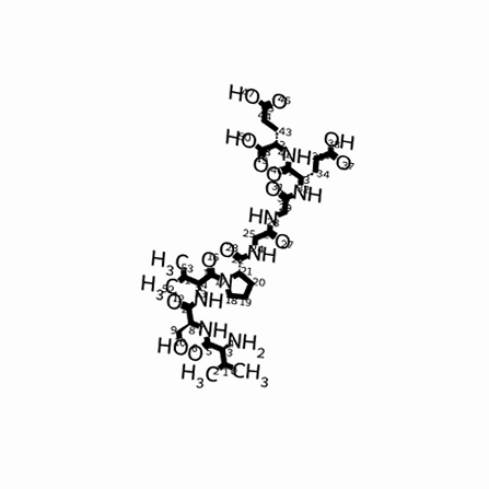 CC(C)[C@H](N)C(=O)N[C@@H](CO)C(=O)N[C@H](C(=O)N1CCC[C@H]1C(=O)NCC(=O)NCC(=O)N[C@@H](CCC(=O)O)C(=O)N[C@@H](CCC(=O)O)C(=O)O)C(C)C